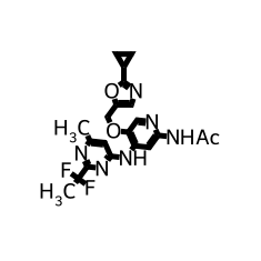 CC(=O)Nc1cc(Nc2cc(C)nc(C(C)(F)F)n2)c(OCc2cnc(C3CC3)o2)cn1